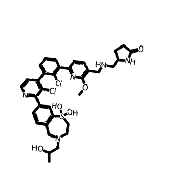 COc1nc(-c2cccc(-c3ccnc(-c4ccc5c(c4)S(O)(O)CCN(CC(C)O)C5)c3Cl)c2Cl)ccc1CNCC1CCC(=O)N1